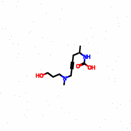 CC(CC#CCN(C)CCCO)NC(=O)O